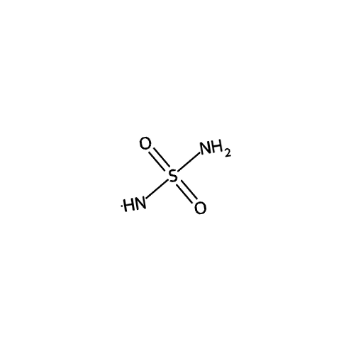 [NH]S(N)(=O)=O